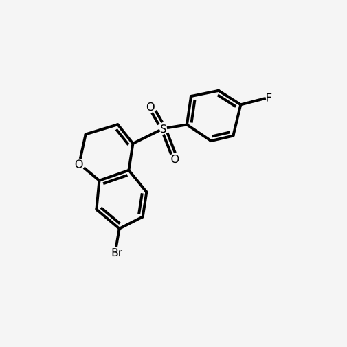 O=S(=O)(C1=CCOc2cc(Br)ccc21)c1ccc(F)cc1